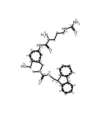 CN(Cc1cc(NC(=O)[C@@H](N)CCCNC(N)=O)ccc1CO)C(=O)OCC1c2ccccc2-c2ccccc21